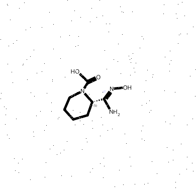 N/C(=N\O)[C@@H]1CCCCN1C(=O)O